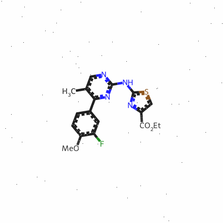 CCOC(=O)c1csc(Nc2ncc(C)c(-c3ccc(OC)c(F)c3)n2)n1